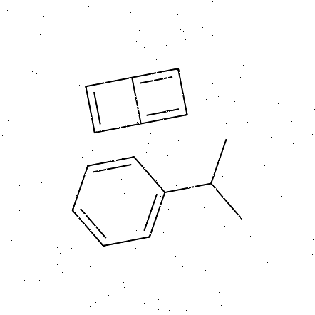 CC(C)c1ccccc1.c1cc2ccc1-2